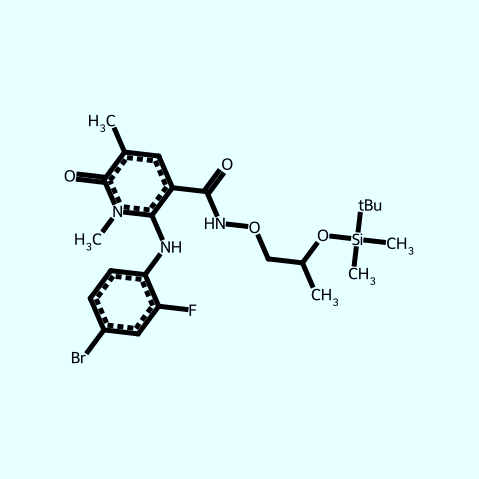 Cc1cc(C(=O)NOCC(C)O[Si](C)(C)C(C)(C)C)c(Nc2ccc(Br)cc2F)n(C)c1=O